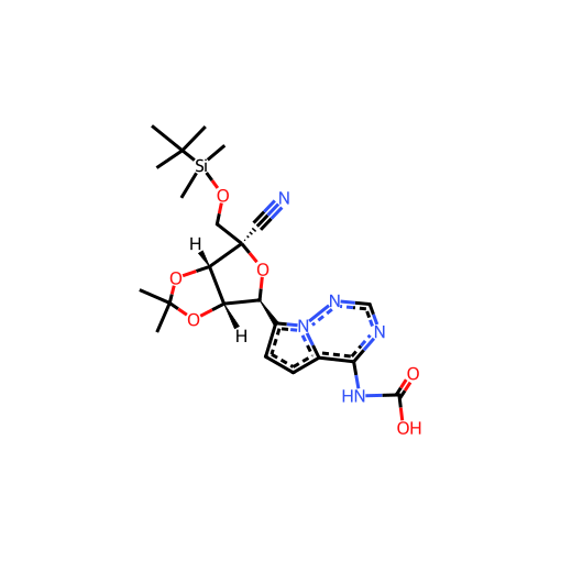 CC1(C)O[C@H]2[C@H](c3ccc4c(NC(=O)O)ncnn34)O[C@](C#N)(CO[Si](C)(C)C(C)(C)C)[C@H]2O1